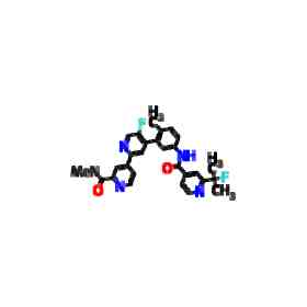 CNC(=O)c1cc(-c2cc(-c3cc(NC(=O)c4ccnc(C(C)(C)F)c4)ccc3C)c(F)cn2)ccn1